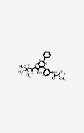 CN(C)C(=O)Nc1cccc(-c2nc(-c3ccccc3)nc3sc(C(=O)NC(C)(C)C)c(N)c23)c1